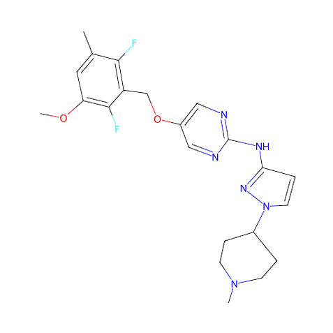 COc1cc(C)c(F)c(COc2cnc(Nc3ccn(C4CCN(C)CC4)n3)nc2)c1F